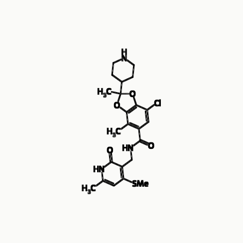 CSc1cc(C)[nH]c(=O)c1CNC(=O)c1cc(Cl)c2c(c1C)OC(C)(C1CCNCC1)O2